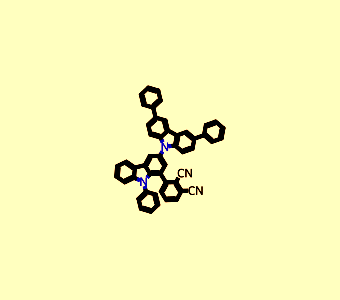 N#Cc1cccc(-c2cc(-n3c4ccc(-c5ccccc5)cc4c4cc(-c5ccccc5)ccc43)cc3c4ccccc4n(-c4ccccc4)c23)c1C#N